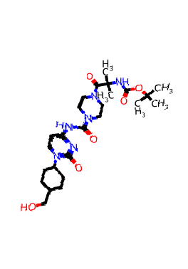 CC(C)(C)OC(=O)NC(C)(C)C(=O)N1CCN(C(=O)Nc2ccn(C3CCC(CO)CC3)c(=O)n2)CC1